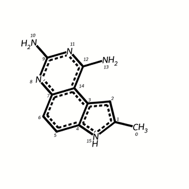 Cc1cc2c(ccc3nc(N)nc(N)c32)[nH]1